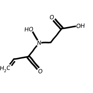 C=CC(=O)N(O)CC(=O)O